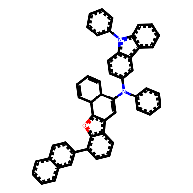 C1=CC2C(N(c3ccccc3)c3ccc4c(c3)c3ccccc3n4-c3ccccc3)=Cc3c(oc4c(-c5ccc6ccccc6c5)cccc34)C2C=C1